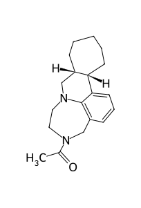 CC(=O)N1CCN2C[C@@H]3CCCCC[C@@H]3c3cccc(c32)C1